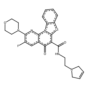 O=C(NCCN1CC=CC1)c1c(=O)c2cc(F)c(N3CCOCC3)nc2n2c1sc1ccccc12